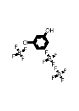 F[B-](F)(F)F.F[B-](F)(F)F.F[B-](F)(F)F.Oc1cccc(Cl)c1